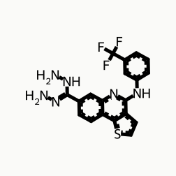 N/N=C(\NN)c1ccc2c(c1)nc(Nc1cccc(C(F)(F)F)c1)c1ccsc12